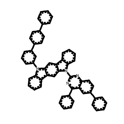 c1ccc(-c2ccc(-c3cccc(-n4c5ccccc5c5cc6c(cc54)c4ccccc4n6-c4nc(-c5ccccc5)c5cc(-c6ccccc6)ccc5n4)c3)cc2)cc1